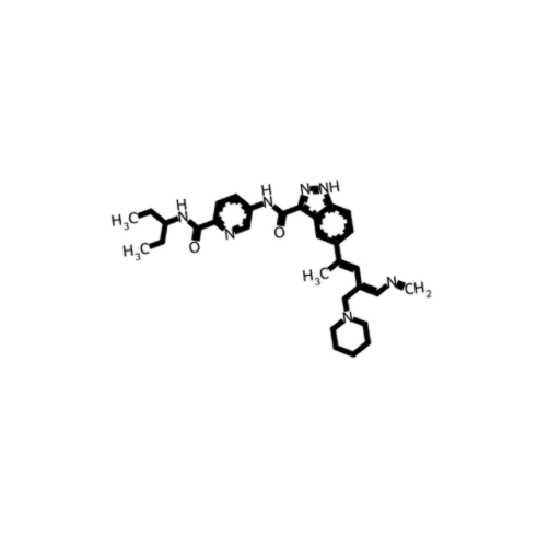 C=N/C=C(\C=C(/C)c1ccc2[nH]nc(C(=O)Nc3ccc(C(=O)NC(CC)CC)nc3)c2c1)CN1CCCCC1